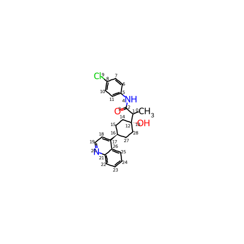 CC(C(=O)Nc1ccc(Cl)cc1)[C@]1(O)CC[C@H](c2ccnc3ccccc32)CC1